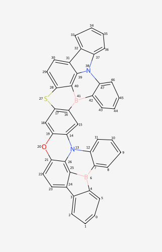 c1ccc2c(c1)B1c3ccccc3N3c4cc5c(cc4Oc4ccc-2c1c43)Sc1ccc2c3ccccc3n3c2c1B5c1ccccc1-3